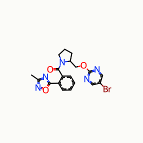 Cc1noc(-c2ccccc2C(=O)N2CCCC2COc2ncc(Br)cn2)n1